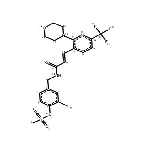 CS(=O)(=O)Nc1ccc(CNC(=O)C=Cc2ccc(C(F)(F)F)nc2N2CCOCC2)cc1F